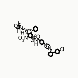 O=C(NS(=O)(=O)c1ccc(N[C@H](CCN2C[C@@H]3C[C@H]2CO3)CSc2ccccc2)c([N+](=O)[O-])c1)c1ccc(N2CCN(Cc3ccccc3-c3ccc(Cl)cc3)CC2)cc1